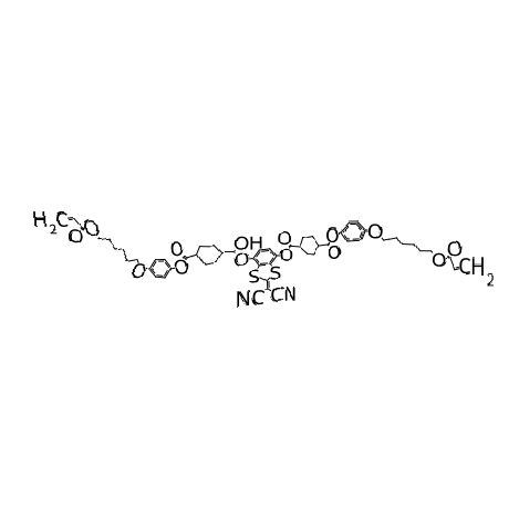 C=CC(=O)OCCCCCCOc1ccc(OC(=O)C2CCC(C(=O)Oc3ccc(OC(O)C4CCC(C(=O)Oc5ccc(OCCCCCCOC(=O)C=C)cc5)CC4)c4c3SC(=C(C#N)C#N)S4)CC2)cc1